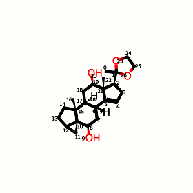 CC1([C@H]2CC=C3[C@@H]4C[C@@H](O)[C@]56CC5CC[C@]6(C)[C@H]4C[C@@H](O)[C@@]32C)OCCO1